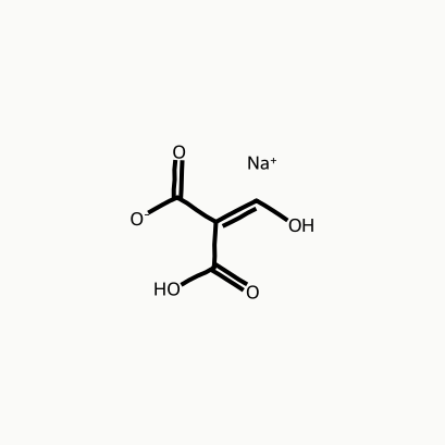 O=C([O-])C(=CO)C(=O)O.[Na+]